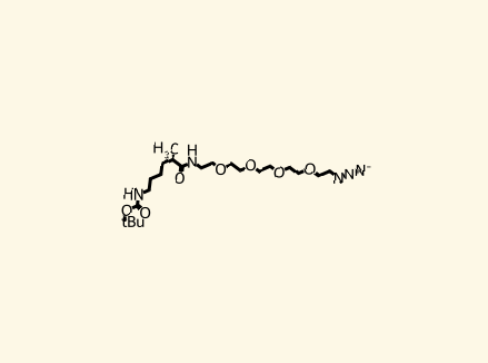 C[C@H](CCCCNC(=O)OC(C)(C)C)C(=O)NCCOCCOCCOCCOCCN=[N+]=[N-]